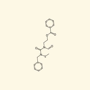 CSN(Cc1ccccc1)C(=O)N(C=O)CCOC(=O)c1ccccc1